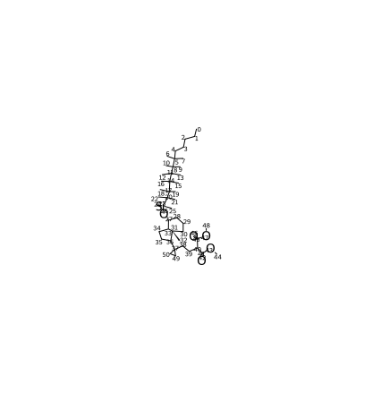 CCCCCC(C)(C)C(C)(C)C(C)(C)C(C)(C)C(C)(C)C(C)(C)[Si](C)(C)O[C@H]1CCC[C@@]2(C)C1CCC2C1(CCC(C(=O)OC)C(=O)OC)CC1